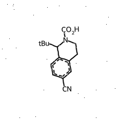 CC(C)(C)C1c2ccc(C#N)cc2CCN1C(=O)O